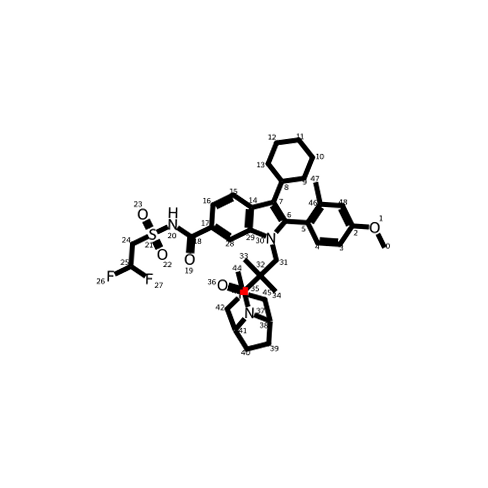 COc1ccc(-c2c(C3CCCCC3)c3ccc(C(=O)NS(=O)(=O)CC(F)F)cc3n2CC(C)(C)C(=O)N2C3CCC2CN(C)C3)c(C)c1